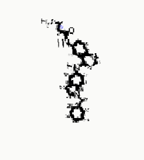 C/C=C/C(=O)Nc1ccc2ncnc(Nc3ccc4c(ccn4Cc4ccccc4)c3)c2c1